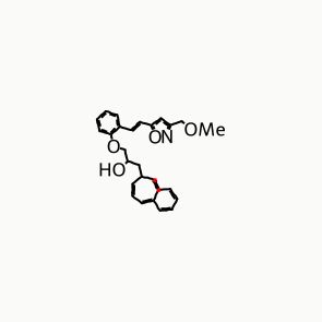 COCc1cc(C=Cc2ccccc2OCC(O)CC2C=CC=C3C=CC=CC34CC=CC=C24)on1